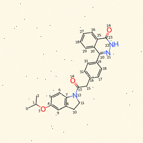 CC(C)Oc1ccc2c(c1)CCN2C(=O)Cc1ccc(-c2n[nH]c(=O)c3ccccc23)cc1